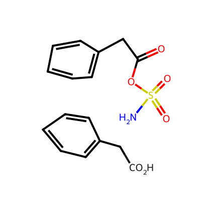 NS(=O)(=O)OC(=O)Cc1ccccc1.O=C(O)Cc1ccccc1